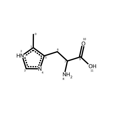 Cc1[nH]cnc1CC(N)C(=O)O